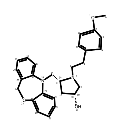 COc1ccc(CCN2C[C@H](O)C[C@@H]2CN2c3ccccc3COc3ccccc32)cc1